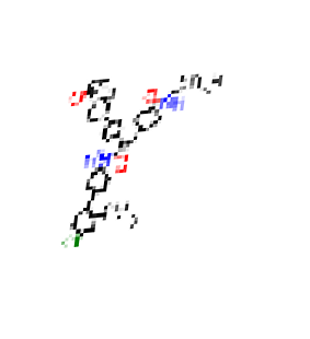 Cc1cc(Cl)ccc1-c1ccc(NC(=O)[C@H](Cc2ccc(C(=O)NCCS(=O)(=O)O)cc2)c2ccc(-c3ccc(C(=O)C(F)(F)F)cc3)cc2)cc1